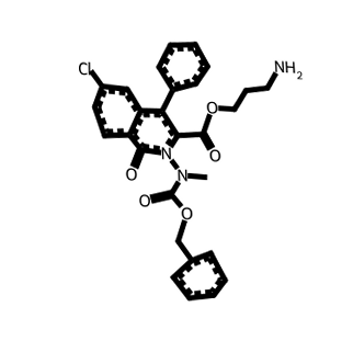 CN(C(=O)OCc1ccccc1)n1c(C(=O)OCCCN)c(-c2ccccc2)c2cc(Cl)ccc2c1=O